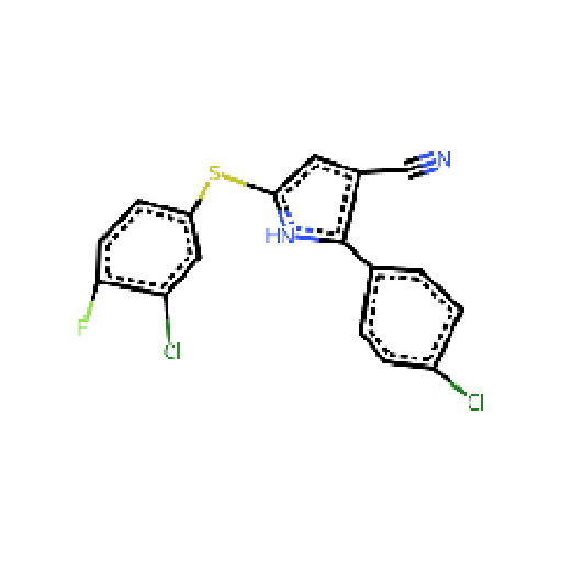 N#Cc1cc(Sc2ccc(F)c(Cl)c2)[nH]c1-c1ccc(Cl)cc1